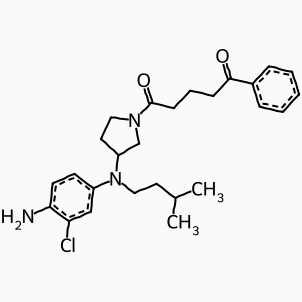 CC(C)CCN(c1ccc(N)c(Cl)c1)C1CCN(C(=O)CCCC(=O)c2ccccc2)C1